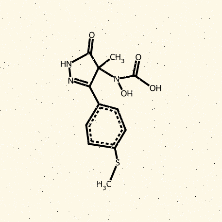 CSc1ccc(C2=NNC(=O)C2(C)N(O)C(=O)O)cc1